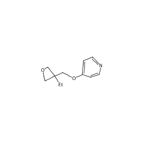 CCC1(COc2ccncc2)COC1